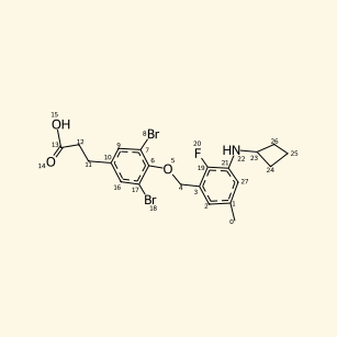 Cc1cc(COc2c(Br)cc(CCC(=O)O)cc2Br)c(F)c(NC2CCC2)c1